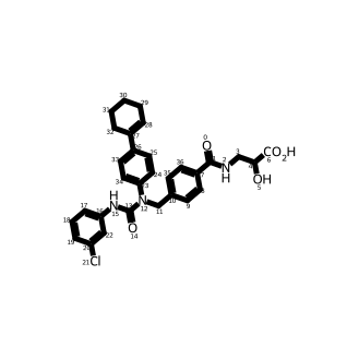 O=C(NCC(O)C(=O)O)c1ccc(CN(C(=O)Nc2cccc(Cl)c2)c2ccc(C3=CCCCC3)cc2)cc1